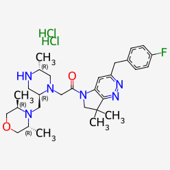 C[C@@H]1CN(CC(=O)N2CC(C)(C)c3nnc(Cc4ccc(F)cc4)cc32)[C@@H](CN2[C@H](C)COC[C@H]2C)CN1.Cl.Cl